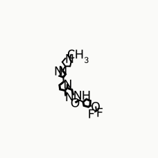 CN1CCC(n2cc(-c3ccc4cnc(NC(=O)c5ccc(OC(F)F)cc5)cc4n3)cn2)CC1